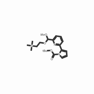 COC(OCC[Si](C)(C)C)c1cccc(-c2cccn2C(=O)OC(C)(C)C)n1